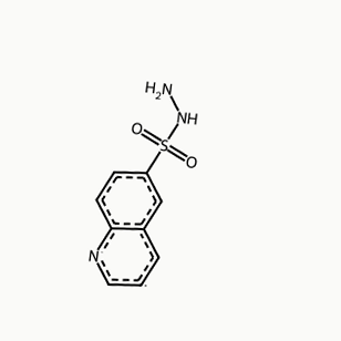 NNS(=O)(=O)c1ccc2nc[c]cc2c1